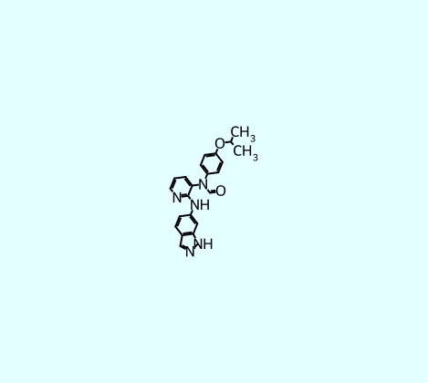 CC(C)Oc1ccc(N(C=O)c2cccnc2Nc2ccc3cn[nH]c3c2)cc1